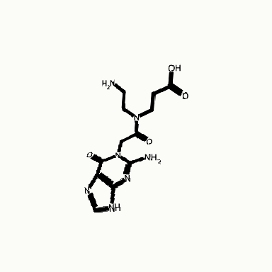 NCCN(CCC(=O)O)C(=O)Cn1c(N)nc2[nH]cnc2c1=O